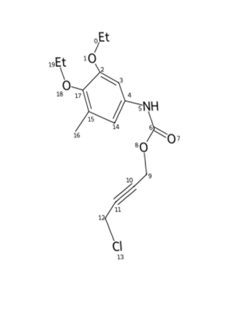 CCOc1cc(NC(=O)OCC#CCCl)cc(C)c1OCC